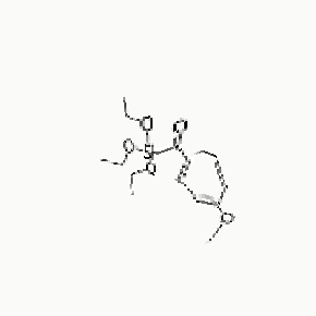 CCO[Si](OCC)(OCC)C(=O)c1ccc(OC)cc1